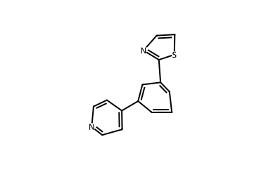 c1cc(-c2ccncc2)cc(-c2nccs2)c1